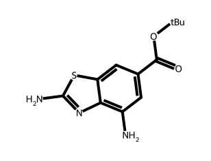 CC(C)(C)OC(=O)c1cc(N)c2nc(N)sc2c1